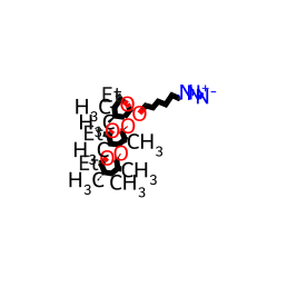 CCC1O[C@H](O[C@@H]2C(C)[C@@H](OC3[C@@H](OCCCCCCN=[N+]=[N-])OC(CC)[C@@H](C)[C@@H]3C)OC(CC)[C@H]2C)C(C)[C@@H](C)[C@@H]1C